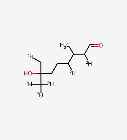 [2H]CC(O)(CCC([2H])C(C)C([2H])C=O)C([2H])([2H])[2H]